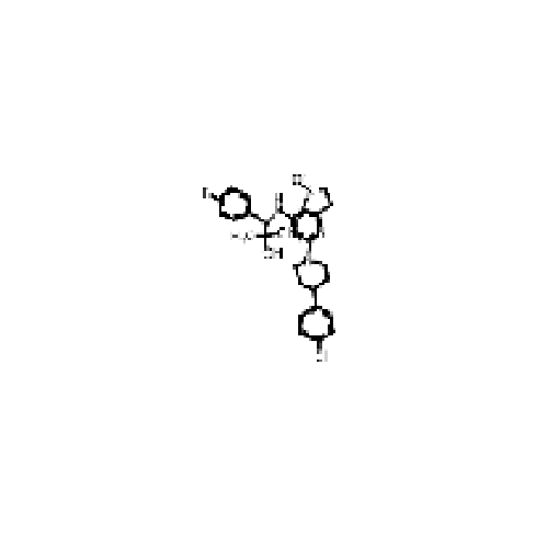 CC(C)(O)[C@H](Nc1nc(N2CCC(c3ccc(Cl)cc3)CC2)nc2c1[S+]([O-])CC2)c1ccc(F)cc1